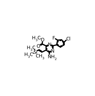 COC(=O)c1nc(-c2ccc(Cl)cc2F)nc(N)c1/C=C/[Si](C)(C)C